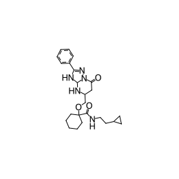 O=C1CC(COC2(C(=O)NCCC3CC3)CCCCC2)NC2NC(c3ccccc3)=NN12